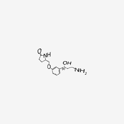 NCC[C@@H](O)c1cccc(OCC2CCC(=O)N2)c1